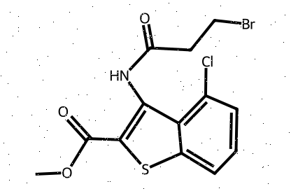 COC(=O)c1sc2cccc(Cl)c2c1NC(=O)CCBr